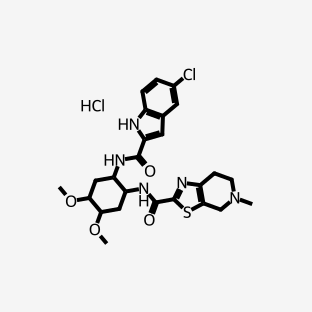 COC1CC(NC(=O)c2cc3cc(Cl)ccc3[nH]2)C(NC(=O)c2nc3c(s2)CN(C)CC3)CC1OC.Cl